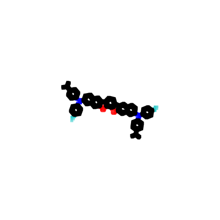 CC(C)c1ccc(N(c2ccc(F)cc2)c2ccc3cc4c(cc3c2)oc2c4ccc3c4cc5ccc(N(c6ccc(F)cc6)c6ccc(C(C)C)cc6)cc5cc4oc32)cc1